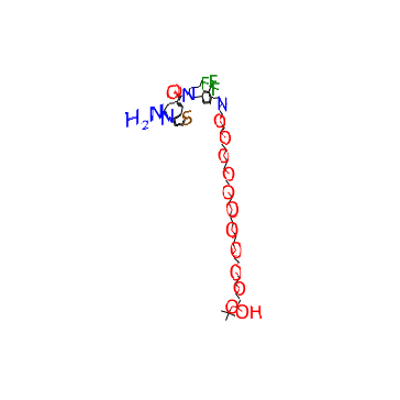 CCCN(Cc1ccc(CN(C)CCOCCOCCOCCOCCOCCOCCOCCOCCOCCOCCC(O)OC(C)(C)C)c(C(F)(F)F)c1)C(=O)C1=Cc2sccc2N=C(N)C1